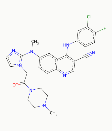 CN1CCN(C(=O)Cn2ccnc2N(C)c2ccc3ncc(C#N)c(Nc4ccc(F)c(Cl)c4)c3c2)CC1